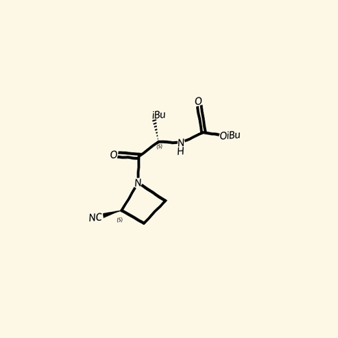 CCC(C)[C@H](NC(=O)OCC(C)C)C(=O)N1CC[C@H]1C#N